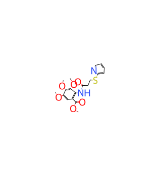 COC(=O)c1cc(OC)c(OC)c(OC)c1NC(=O)CCSc1ccccn1